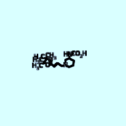 CC1(C)OB(/C=C/CN2CCCC(NC(=O)O)C2)OC1(C)C